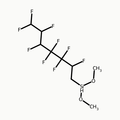 CO[SiH](CC(F)C(F)(F)C(F)(F)C(F)C(F)C(F)F)OC